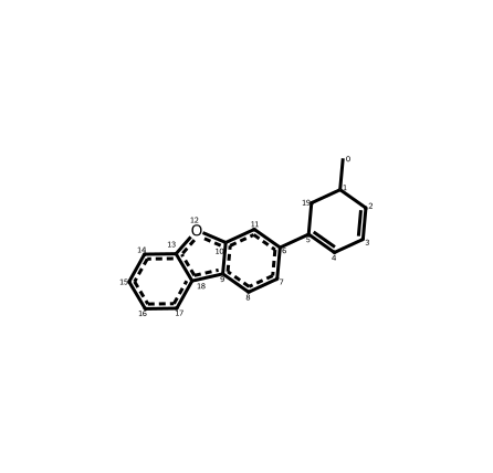 CC1C=CC=C(c2ccc3c(c2)oc2ccccc23)C1